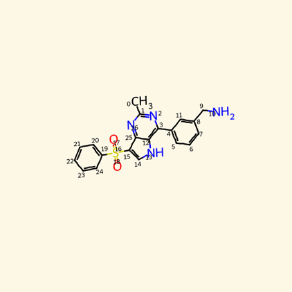 Cc1nc(-c2cccc(CN)c2)c2[nH]cc(S(=O)(=O)c3ccccc3)c2n1